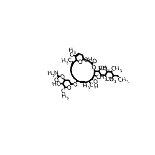 CCC(=O)C(C)C(O)C(C)CC(C)C1OC(=O)CC2(O)CC=C(C)C(O2)C(C)=CCCCC(OC2CC(OC(N)=O)C(O)C(C)O2)C=CC(C)C(O)C1C